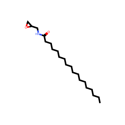 CCCCCCCCCCCCCCCCCC(=O)NCC1CO1